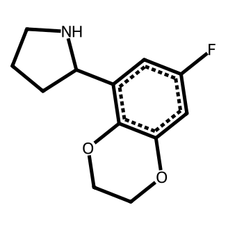 Fc1cc2c(c(C3CCCN3)c1)OCCO2